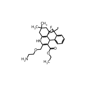 CCOC(=O)C1=C(COCCN)NC2=C(C(=O)CC(C)(C)C2)C1c1ccccc1C(F)(F)F